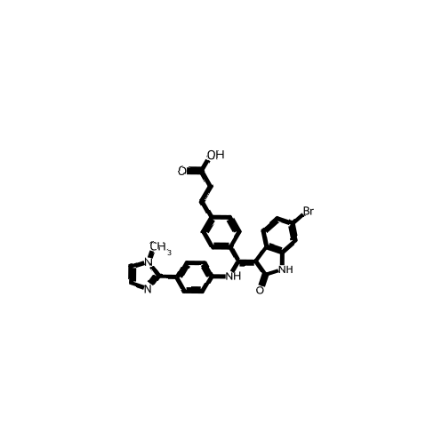 Cn1ccnc1-c1ccc(N/C(=C2\C(=O)Nc3cc(Br)ccc32)c2ccc(CCC(=O)O)cc2)cc1